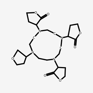 O=C1OCCC1N1CCN(C2CCOC2)CCN(C2CCOC2=O)CCN(C2CCOC2=O)CC1